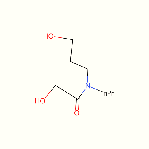 CCCN(CCCO)C(=O)CO